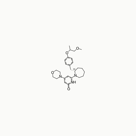 COCC(C)Oc1ccc(C[C@@H]2CCCCCN2c2cc(N3CCOCC3)cc(=O)[nH]2)cc1